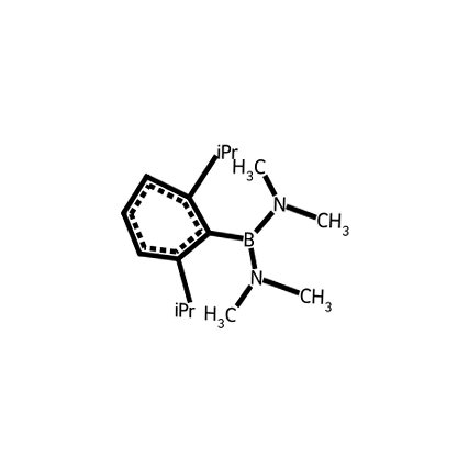 CC(C)c1cccc(C(C)C)c1B(N(C)C)N(C)C